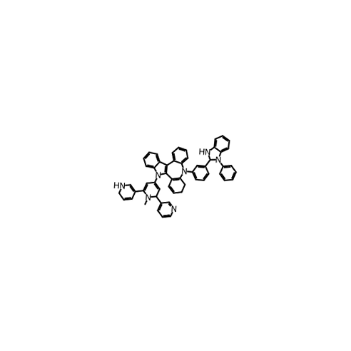 CN1C(C2=CNCC=C2)=CC(n2c3c(c4ccccc42)-c2ccccc2N(c2cccc(C4Nc5ccccc5N4c4ccccc4)c2)C2=C3C=CCC2)=CC1c1cccnc1